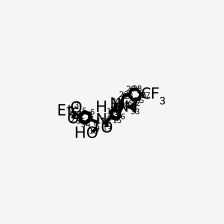 CCS(=O)(=O)c1ccc([C@H](CO)NC(=O)c2ccc3c(c2)nc(CC2CCC(C(F)(F)F)CC2)n3C2CC2)cc1